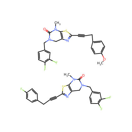 CN1C(=O)N(Cc2ccc(F)c(F)c2)Cc2nc(C#CCc3ccc(F)cc3)sc21.COc1ccc(CC#Cc2nc3c(s2)N(C)C(=O)N(Cc2ccc(F)c(F)c2)C3)cc1